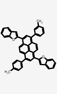 Cc1ccc(-c2cc(-c3cc4ccccc4o3)c3ccc4c(-c5cccc(C)c5)cc(-c5cc6ccccc6o5)c5ccc2c3c45)cc1